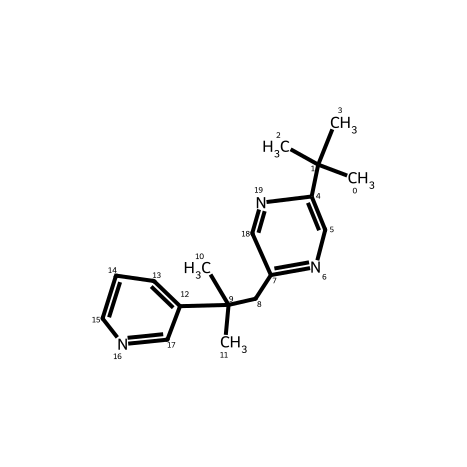 CC(C)(C)c1cnc(CC(C)(C)c2cccnc2)cn1